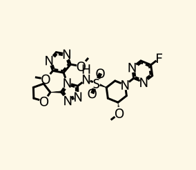 COc1ncnc(OC)c1-n1c(NS(=O)(=O)[C@@H]2C[C@@H](OC)CN(c3ncc(F)cn3)C2)nnc1[C@@H]1CCCO1